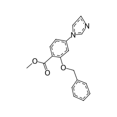 COC(=O)c1ccc(-n2ccnc2)cc1OCc1ccccc1